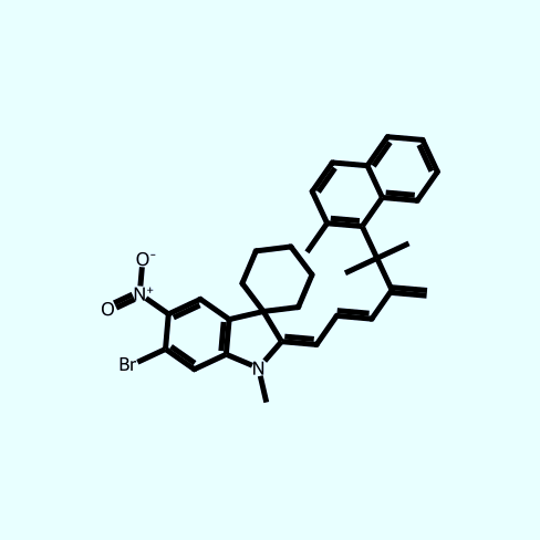 C=C(/C=C/C=C1/N(C)c2cc(Br)c([N+](=O)[O-])cc2C12CCCCC2)C(C)(C)c1c(C)ccc2ccccc12